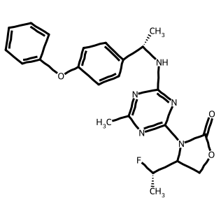 Cc1nc(N[C@@H](C)c2ccc(Oc3ccccc3)cc2)nc(N2C(=O)OCC2[C@H](C)F)n1